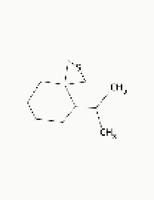 CC(C)C1CCCCC12CSC2